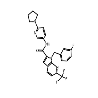 O=C(Nc1ccc(N2CCCC2)nc1)c1cc2ccc(C(F)(F)F)nc2n1Cc1cccc(F)c1